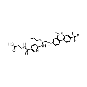 CCCC[C@@H](COc1ccc(-c2ccc(C(F)(F)F)cc2F)c(OC)c1)Nc1ccc(C(=O)NCCC(=O)O)cn1